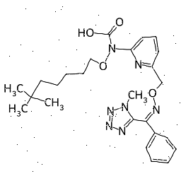 Cn1nnnc1C(=NOCc1cccc(N(OCCCCCC(C)(C)C)C(=O)O)n1)c1ccccc1